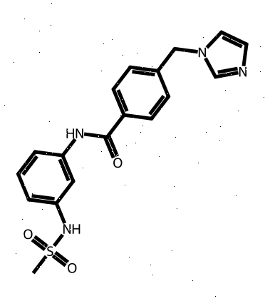 CS(=O)(=O)Nc1cccc(NC(=O)c2ccc(Cn3ccnc3)cc2)c1